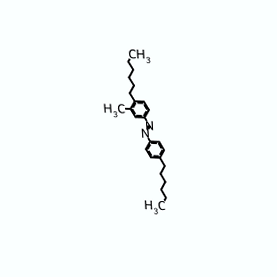 CCCCCCc1ccc(N=Nc2ccc(CCCCCC)c(C)c2)cc1